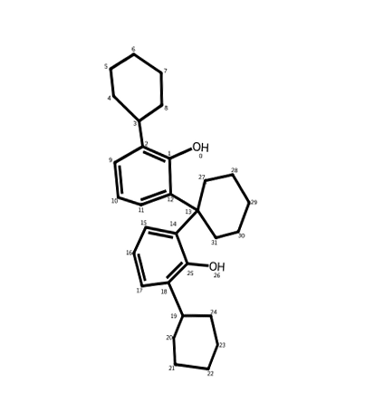 Oc1c(C2CCCCC2)cccc1C1(c2cccc(C3CCCCC3)c2O)[C]CCCC1